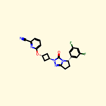 N#Cc1cccc(O[C@H]2C[C@H](n3nc4n(c3=O)[C@H](c3cc(F)cc(F)c3)CC4)C2)n1